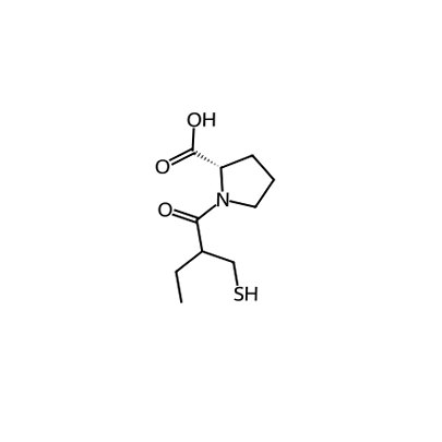 CCC(CS)C(=O)N1CCC[C@H]1C(=O)O